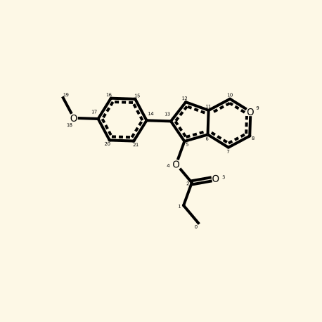 CCC(=O)Oc1c2ccocc-2cc1-c1ccc(OC)cc1